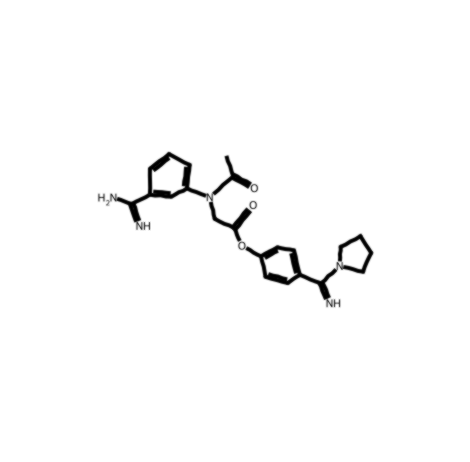 CC(=O)N(CC(=O)Oc1ccc(C(=N)N2CCCC2)cc1)c1cccc(C(=N)N)c1